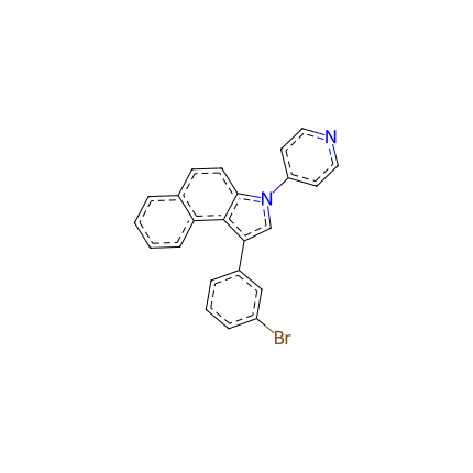 Brc1cccc(-c2cn(-c3ccncc3)c3ccc4ccccc4c23)c1